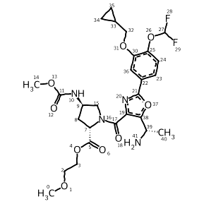 COCCOC(=O)[C@@H]1C[C@@H](NC(=O)OC)CN1C(=O)c1nc(-c2ccc(OC(F)F)c(OCC3CC3)c2)oc1[C@H](C)N